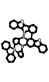 c1ccc2c(c1)-c1ccccc1[Si]21c2ccccc2N2c3cc4c(oc5ccccc54)c4c3B(c3cccc1c32)n1c2c-4cccc2c2oc3ccccc3c21